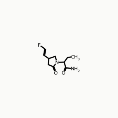 CCC(C(N)=O)N1CC(C=CF)CC1=O